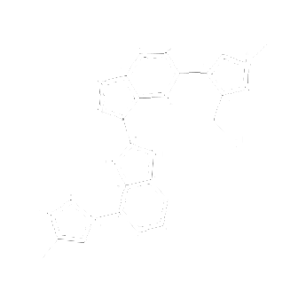 Cc1cn(-c2cccc3[nH]c(-c4n[nH]c5ccc(-c6cn(C)nc6CO)nc45)nc23)cn1